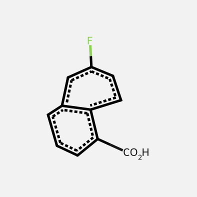 O=C(O)c1cccc2cc(F)ccc12